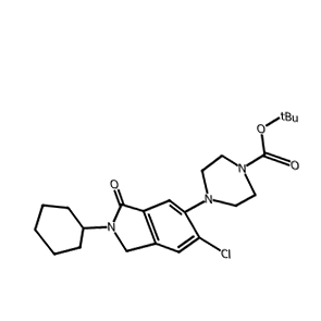 CC(C)(C)OC(=O)N1CCN(c2cc3c(cc2Cl)CN(C2CCCCC2)C3=O)CC1